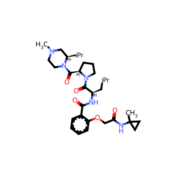 CC(C)C[C@@H](NC(=O)c1ccccc1OCC(=O)NC1(C)CC1)C(=O)N1CCC[C@@H]1C(=O)N1CCN(C)C[C@H]1C(C)C